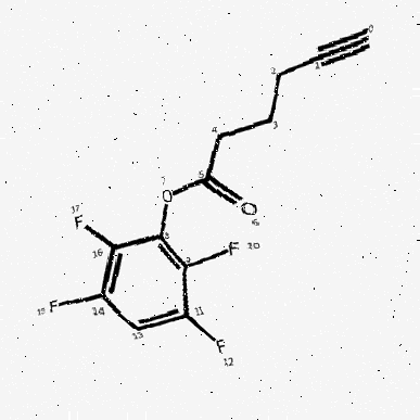 C#CCCCC(=O)Oc1c(F)c(F)cc(F)c1F